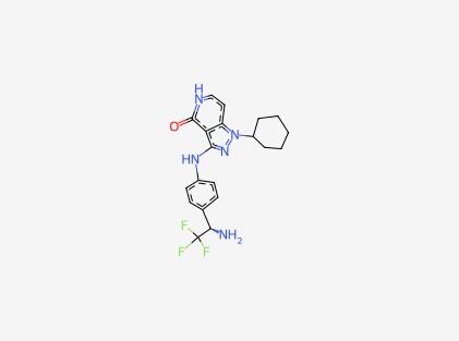 N[C@H](c1ccc(Nc2nn(C3CCCCC3)c3cc[nH]c(=O)c23)cc1)C(F)(F)F